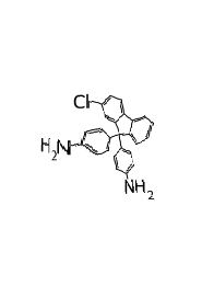 Nc1ccc(C2(c3ccc(N)cc3)c3ccccc3-c3ccc(Cl)cc32)cc1